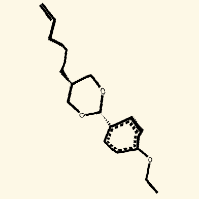 C=CCCC[C@H]1CO[C@H](c2ccc(OCC)cc2)OC1